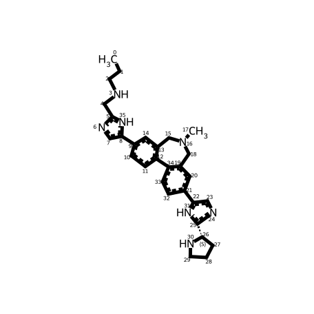 CCCNCc1ncc(-c2ccc3c(c2)CN(C)Cc2cc(-c4cnc([C@@H]5CCCN5)[nH]4)ccc2-3)[nH]1